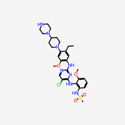 CCc1cc(Nc2ncc(Cl)c(Nc3c(NS(C)(=O)=O)cccc3OC)n2)c(OC)cc1N1CCC(N2CCNCC2)CC1